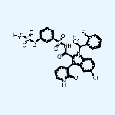 CC(c1ccccc1F)n1c(C(=O)NS(=O)(=O)c2cccc(NS(C)(=O)=O)c2)c(-c2ccc[nH]c2=O)c2cc(Cl)ccc21